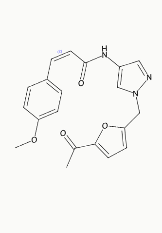 COc1ccc(/C=C\C(=O)Nc2cnn(Cc3ccc(C(C)=O)o3)c2)cc1